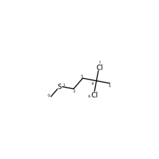 CSCCC(C)(Cl)Cl